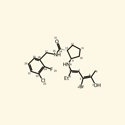 CC/C(=C\C(Br)=C(/C)O)N[C@@H]1CCC[C@H]1C(=O)NCc1cccc(Cl)c1F